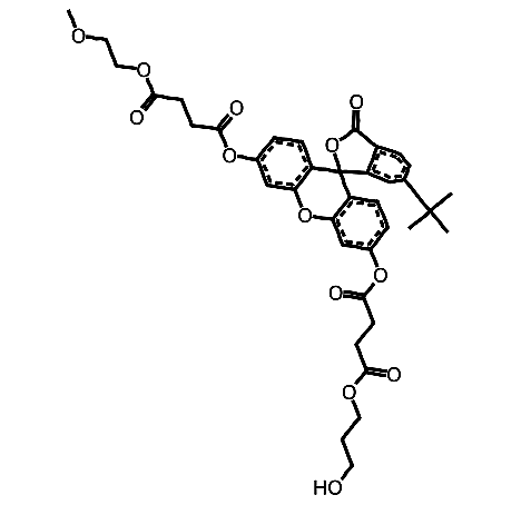 COCCOC(=O)CCC(=O)Oc1ccc2c(c1)Oc1cc(OC(=O)CCC(=O)OCCCO)ccc1C21OC(=O)c2ccc(C(C)(C)C)cc21